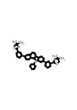 CC1(C)COC(c2cccc(-c3ccc4c(ccc5c6ccc(-c7cccc(C8=NC(C)(C)CO8)c7)cc6n(-c6ccccc6)c45)c3)c2)=N1